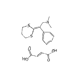 CN(C)CC(=C1SCCCS1)c1ccccc1.O=C(O)C=CC(=O)O